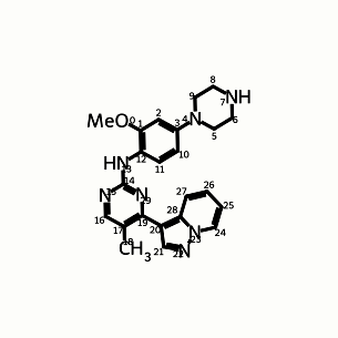 COc1cc(N2CCNCC2)ccc1Nc1ncc(C)c(-c2cnn3ccccc23)n1